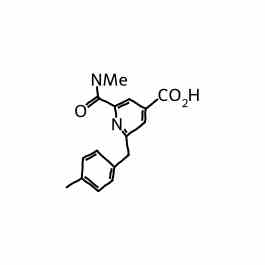 CNC(=O)c1cc(C(=O)O)cc(Cc2ccc(C)cc2)n1